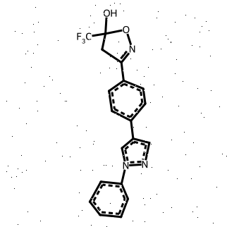 OC1(C(F)(F)F)CC(c2ccc(-c3cnn(-c4ccccc4)c3)cc2)=NO1